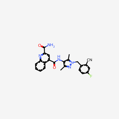 Cc1nn(Cc2ccc(F)cc2C#N)c(C)c1NC(=O)c1cc(C(N)=O)nc2ccccc12